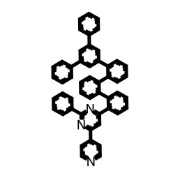 c1ccc(-c2cc(-c3ccccc3)cc(-c3ccccc3-c3ccccc3-c3ccccc3-c3cc(-c4ccncc4)nc(-c4ccccc4)n3)c2)cc1